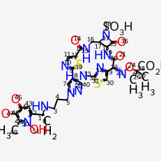 C=C(NCCCn1cc(-c2ncc(C(=O)NCC3C(NC(=O)/C(=N\OC(C)(C)C(=O)O)c4csc(N)n4)C(=O)N3S(=O)(=O)O)s2)cn1)c1cc(=O)c(O)c(C)n1O